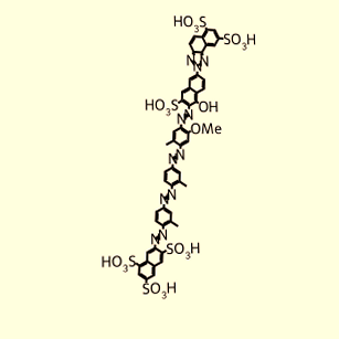 COc1cc(N=Nc2ccc(N=Nc3ccc(N=Nc4cc5c(S(=O)(=O)O)cc(S(=O)(=O)O)cc5cc4S(=O)(=O)O)c(C)c3)c(C)c2)c(C)cc1N=Nc1c(S(=O)(=O)O)cc2cc(-n3nc4ccc5c(S(=O)(=O)O)cc(S(=O)(=O)O)cc5c4n3)ccc2c1O